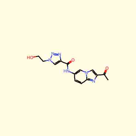 CC(=O)c1cn2cc(NC(=O)c3cn(CCO)nn3)ccc2n1